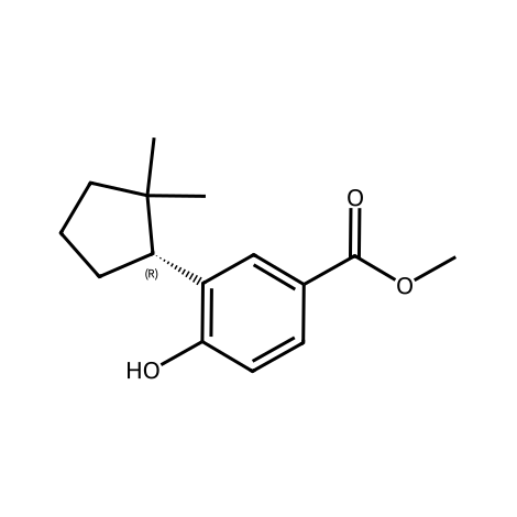 COC(=O)c1ccc(O)c([C@@H]2CCCC2(C)C)c1